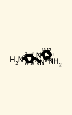 Nc1ccc(-c2cnc3c(N)cccc3n2)cc1